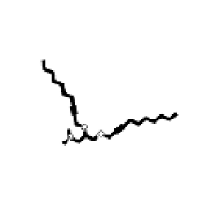 CCCCCCCC#CCOCC(CN(C)C)OCC#CCCCCCCC